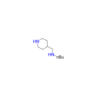 CCCCNCC1CCNCC1